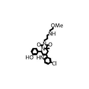 COCCNCCCN1C(=O)N2C(c3cccc(O)c3)c3[nH]c4ccc(Cl)cc4c3CC2(C)C1=O